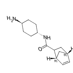 N[C@H]1CC[C@H](NC(=O)C2C[C@@H]3C=C[C@H]2C3)CC1